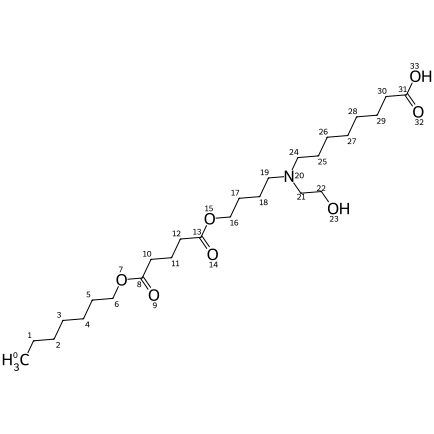 CCCCCCCOC(=O)CCCC(=O)OCCCCN(CCO)CCCCCCCC(=O)O